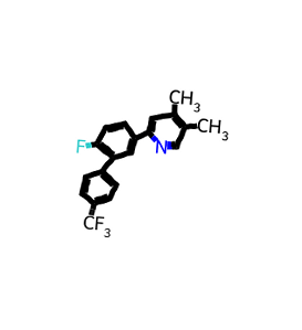 Cc1cnc(-c2ccc(F)c(-c3ccc(C(F)(F)F)cc3)c2)cc1C